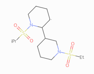 CCS(=O)(=O)N1CCCC(C2[CH]CCCN2S(=O)(=O)C(C)C)C1